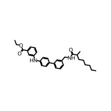 CCCCCCC(C)C(=O)NCc1cccc(-c2ccc(Nc3cccc(C(=O)OCC)c3)cc2)c1